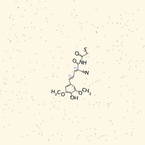 COc1cc(/C=C/C=C(\C#N)C(=O)NC(=O)C=S)cc(OC)c1O